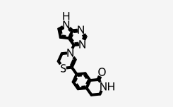 O=C1NCCc2ccc(C3=CN(c4ncnc5[nH]ccc45)CCS3)cc21